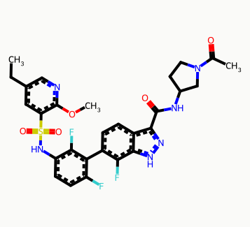 CCc1cnc(OC)c(S(=O)(=O)Nc2ccc(F)c(-c3ccc4c(C(=O)NC5CCN(C(C)=O)C5)n[nH]c4c3F)c2F)c1